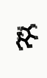 CCO[C@@H](C)C(O)C(CC)N(C)C